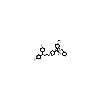 O=c1n(Cc2ccccc2)c2cc(Cl)ccc2n1C1CCN(CCCC(c2ccc(F)cc2)c2ccc(F)cc2)CC1